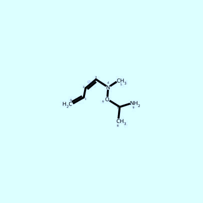 C=C/C=C\N(C)OC(C)N